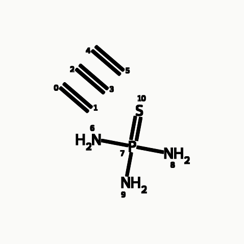 C=C.C=C.C=C.NP(N)(N)=S